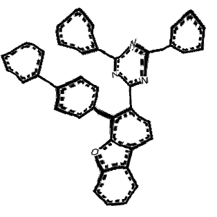 c1ccc(-c2ccc(-c3c(-c4nc(-c5ccccc5)nc(-c5ccccc5)n4)ccc4c3oc3ccccc34)cc2)cc1